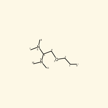 [CH]CCOCC(N(C)C)N(C)C